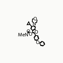 CNC(=O)Oc1c(-c2ccc(Oc3ccccc3)cc2)oc2cc(N3CCOCC3)c(C3CC3)cc12